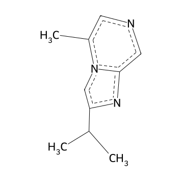 Cc1cncc2nc(C(C)C)cn12